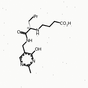 Cc1ncc(CNC(=O)[C@H](CC(C)C)NCCCC(=O)O)c(O)n1